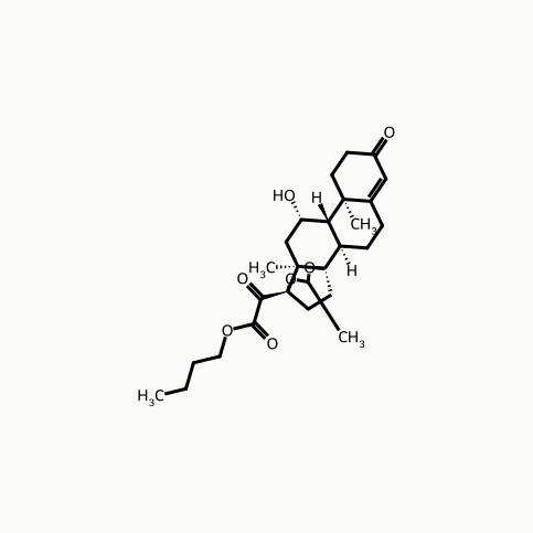 CCCCOC(=O)C(=O)[C@@]12CC[C@@]3(OC(C)O1)[C@@H]1CCC4=CC(=O)CC[C@]4(C)[C@H]1[C@@H](O)C[C@]23C